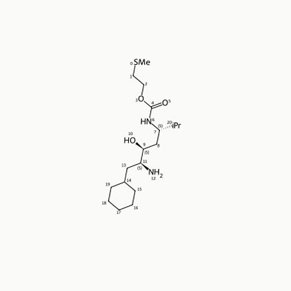 CSCCOC(=O)N[C@@H](C[C@H](O)[C@@H](N)CC1CCCCC1)C(C)C